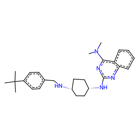 CN(C)c1nc(N[C@H]2CC[C@@H](NCc3ccc(C(C)(C)C)cc3)CC2)nc2ccccc12